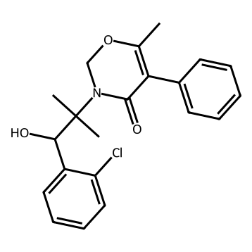 CC1=C(c2ccccc2)C(=O)N(C(C)(C)C(O)c2ccccc2Cl)CO1